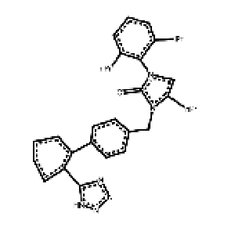 CCCc1cccc(C(C)C)c1-n1cc(CCC)n(Cc2ccc(-c3ccccc3-c3nnn[nH]3)cc2)c1=O